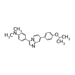 CC(C)Oc1ccc(-c2ccn3c(-c4ccc(N(C)C)cc4)cnc3c2)cc1